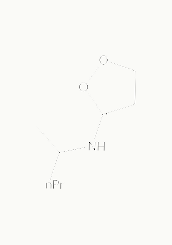 CCCC(C)N[C]1CCOO1